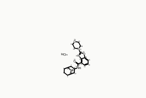 CN1C2CCCC1CC(NC(=O)c1cccc3oc(N4CCOCC4)nc13)C2.Cl